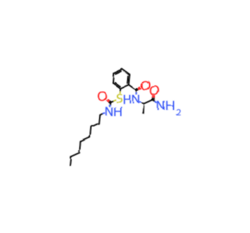 CCCCCCCCNC(=O)Sc1ccccc1C(=O)N[C@H](C)C(N)=O